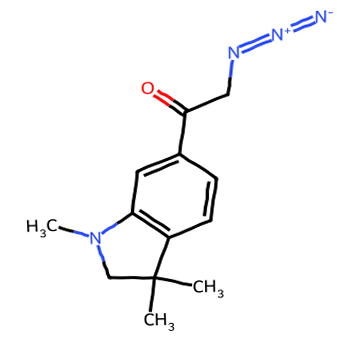 CN1CC(C)(C)c2ccc(C(=O)CN=[N+]=[N-])cc21